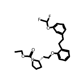 CCOC(=O)N1CCC[C@H]1CCOc1ccccc1CCc1cccc(OC(F)F)c1